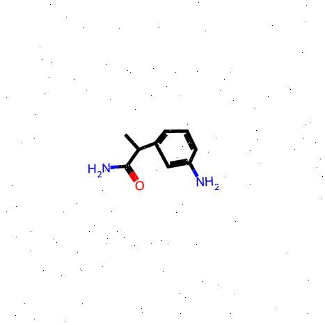 CC(C(N)=O)c1cccc(N)c1